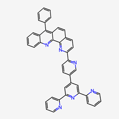 c1ccc(-c2c3ccccc3nc3c2ccc2ccc(-c4ccc(-c5cc(-c6ccccn6)nc(-c6ccccn6)c5)cn4)nc23)cc1